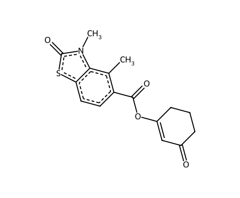 Cc1c(C(=O)OC2=CC(=O)CCC2)ccc2sc(=O)n(C)c12